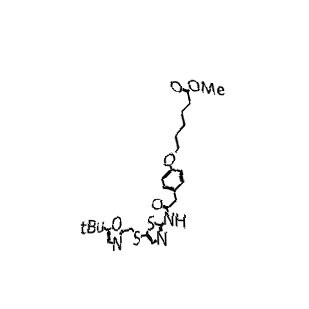 COC(=O)CCCCCOc1ccc(CC(=O)Nc2ncc(SCc3ncc(C(C)(C)C)o3)s2)cc1